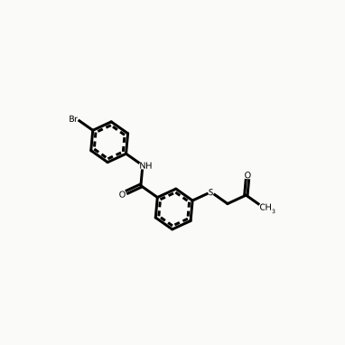 CC(=O)CSc1cccc(C(=O)Nc2ccc(Br)cc2)c1